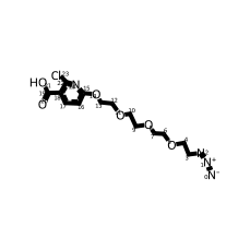 [N-]=[N+]=NCCOCCOCCOCCOc1ccc(C(=O)O)c(Cl)n1